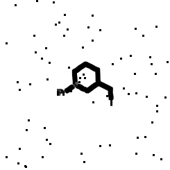 CC(C)N1CCCC(CI)C1